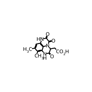 Cc1cc2[nH]c(=O)c(=O)n3c2c(c1C)NC(=O)C3CC(=O)O